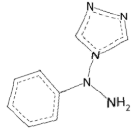 NN(c1ccccc1)n1cnnc1